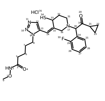 CONC(=O)CCCCn1nncc1/C=C1/CN(C(C(=O)C2CC2)c2ccccc2F)CCC1S.Cl